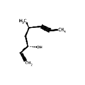 C=C[C@@H](O)C[C@@H](C)C#CC